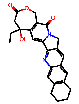 CCC1(O)CC(=O)OCc2c1cc1n(c2=O)Cc2cc3cc4c(cc3nc2-1)CCCC4